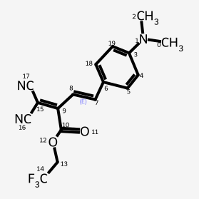 CN(C)c1ccc(/C=C/C(C(=O)OCC(F)(F)F)=C(C#N)C#N)cc1